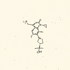 Cc1c(N2CC[C@@H](C(C)(C)O)C2)c(F)cc2c(CN)cc(=O)n(C3CC3)c12